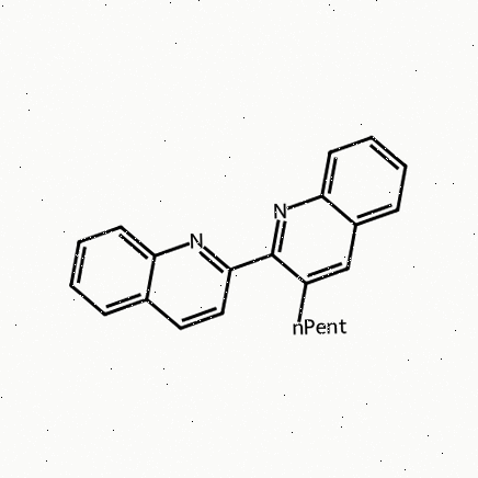 CCCCCc1cc2ccccc2nc1-c1ccc2ccccc2n1